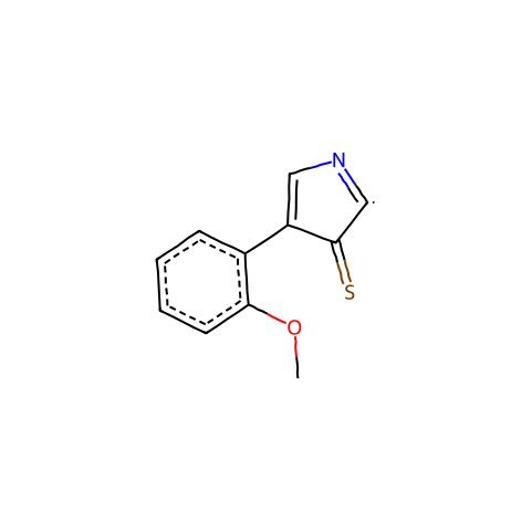 COc1ccccc1C1=CN=[C]C1=S